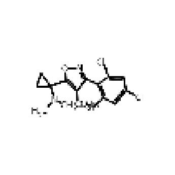 CCOC(=O)c1c(-c2c(Cl)cc(Cl)cc2Cl)noc1C1(N(C)C)CC1